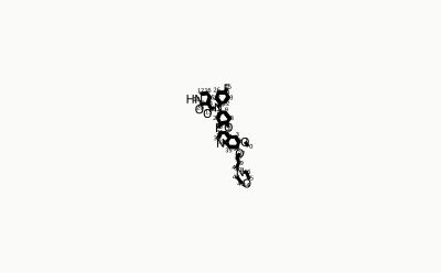 COc1cc2c(Oc3ccc(N(C(=O)c4ccc[nH]c4=O)c4ccc(F)cc4)cc3F)ccnc2cc1OCCCN1CCOCC1